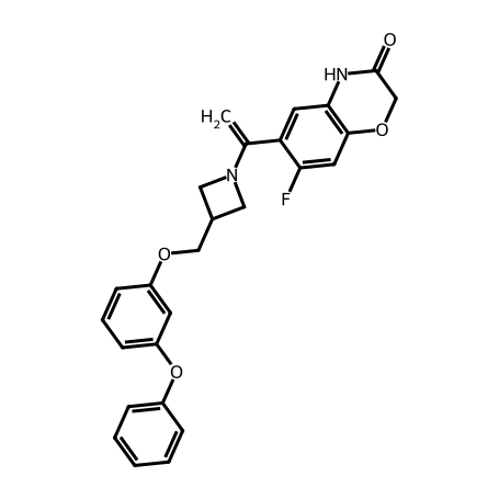 C=C(c1cc2c(cc1F)OCC(=O)N2)N1CC(COc2cccc(Oc3ccccc3)c2)C1